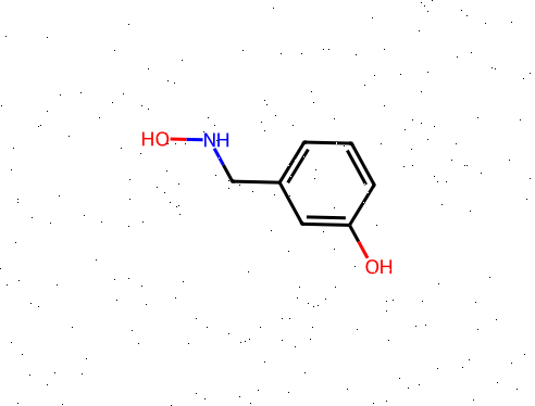 ONCc1cccc(O)c1